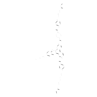 C=CC(=O)OCCCCCCOc1ccc(C(=O)Oc2ccc3c4ccc(OC(=O)C5CCC(C(=O)Oc6ccc(OCCCOC(=O)C=C)cc6)CC5)cc4c4nc5ccc(OCCOCCC)cc5nc4c3c2)cc1